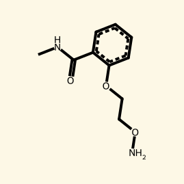 CNC(=O)c1ccccc1OCCON